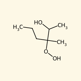 CCCC(C)(OO)C(C)O